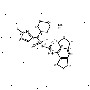 Cn1ncc(N(C2CCOCC2)S(=O)(=O)NC(=O)Nc2c3c(cc4c2CCC4)CCC3)n1.[Na]